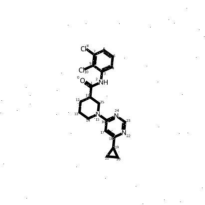 O=C(Nc1cccc(Cl)c1Cl)C1CCCN(c2cc(C3CC3)ncn2)C1